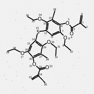 C=C(C)C(=O)Oc1c(OCC)cc(Sc2cc(OCC)c(OC(=O)C(=C)C)c(C)c2OCC)c(OCC)c1C